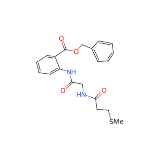 CSCCC(=O)NCC(=O)Nc1ccccc1C(=O)OCc1ccccc1